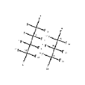 FC(F)(F)C(F)(F)C(F)(F)C(F)(F)F.FC(F)(F)C(F)(F)C(F)(F)F